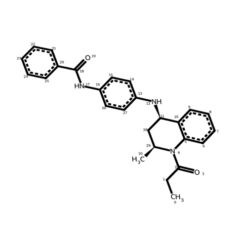 CCC(=O)N1c2ccccc2[C@H](Nc2ccc(NC(=O)c3ccccc3)cc2)C[C@@H]1C